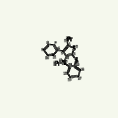 CC(C)c1sc2c(c1-c1ccccc1)N(C(C)C)c1ccccc1S2